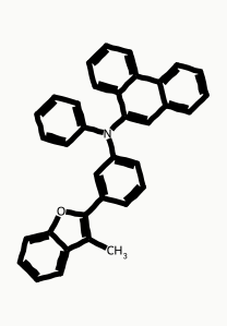 Cc1c(-c2cccc(N(c3ccccc3)c3cc4ccccc4c4ccccc34)c2)oc2ccccc12